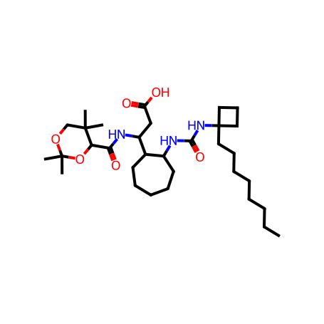 CCCCCCCCC1(NC(=O)NC2CCCCCC2C(CC(=O)O)NC(=O)C2OC(C)(C)OCC2(C)C)CCC1